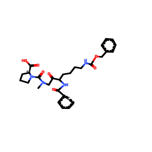 CN(CC(=O)C(CCCCNC(=O)OCc1ccccc1)NC(=O)c1ccccc1)C(=O)N1CCC[C@H]1C(=O)O